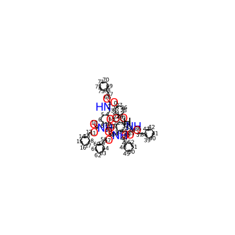 O=C(NC[C@@H]1CCC(NC(=O)OCc2ccccc2)[C@@H](OC2C3OC4(CCCCC4)O[C@H]3[C@H](NC(=O)OCc3ccccc3)C(OCc3ccccc3)[C@@H]2NC(=O)OCc2ccccc2)O1)OCc1ccccc1